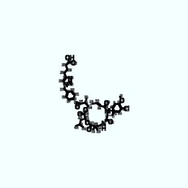 COc1ccc(C[C@H]2NC(=O)/C=C/C[C@@H]([C@H](C)[C@H]3O[C@@H]3c3ccc(Cn4cc(CCCC(=O)O)nn4)cc3)OC(=O)[C@H](CC(C)C)OC(=O)C(C)(C)CNC2=O)cc1Cl